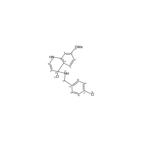 COc1ccc2c(c1)NC=CC2(Cl)NCc1ccc(Cl)cc1